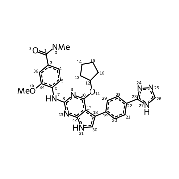 CNC(=O)c1ccc(Nc2nc(OC3CCCC3)c3c(-c4ccc(-c5nnc[nH]5)cc4)c[nH]c3n2)c(OC)c1